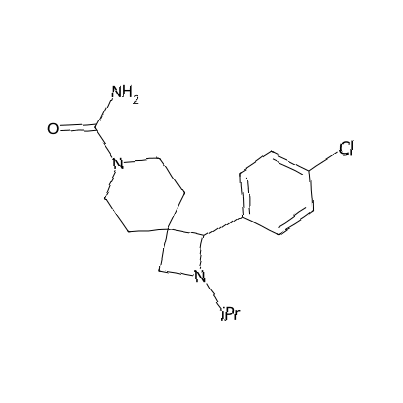 CC(C)N1CC2(CCN(C(N)=O)CC2)C1c1ccc(Cl)cc1